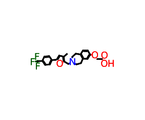 Cc1cc(-c2ccc(C(F)(F)F)cc2)oc1CN1CCc2ccc(OCC(=O)O)cc2CC1